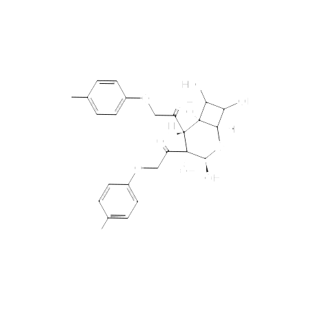 CC1C(O)[C@H]2O[C@@H](O)[C@@](O)(C(=O)COc3ccc(F)cc3)[C@](O)(C(=O)COc3ccc(F)cc3)[C@@]12O